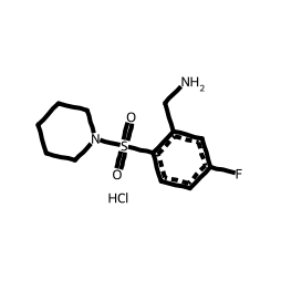 Cl.NCc1cc(F)ccc1S(=O)(=O)N1CCCCC1